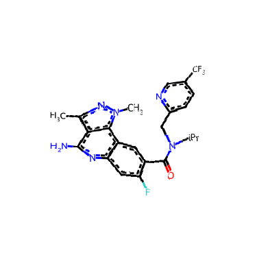 Cc1nn(C)c2c1c(N)nc1cc(F)c(C(=O)N(Cc3ccc(C(F)(F)F)cn3)C(C)C)cc12